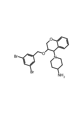 NC1CCN(C2c3ccccc3OCC2OCc2cc(Br)cc(Br)c2)CC1